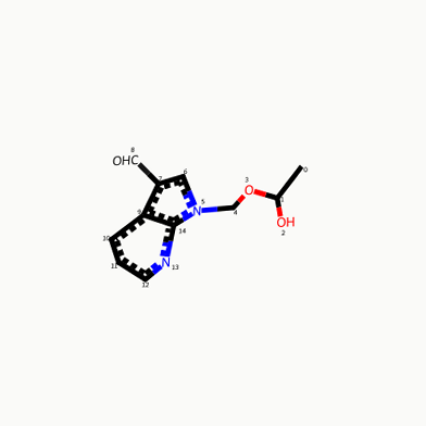 CC(O)OCn1cc(C=O)c2cccnc21